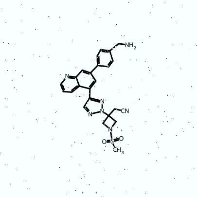 CS(=O)(=O)N1CC(CC#N)(n2ncc(-c3cc(-c4ccc(CN)cc4)cc4ncccc34)n2)C1